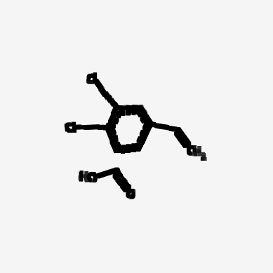 C=Cc1ccc(Cl)c(Cl)c1.O=CO